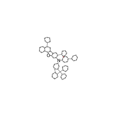 c1ccc(-c2ccc(N(c3ccc4c(c3)C(c3ccccc3)(c3ccccc3)c3ccccc3-4)c3cc4oc5c6ccccc6c(-c6ccccc6)cc5c4cc3-c3ccccc3)cc2)cc1